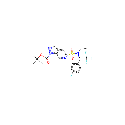 CCN([C@H](c1ccc(F)cc1)C(F)(F)F)S(=O)(=O)c1cc2cnn(C(=O)OC(C)(C)C)c2cn1